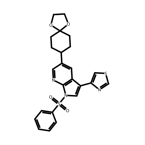 O=S(=O)(c1ccccc1)n1cc(-c2cs[c]n2)c2cc(C3CCC4(CC3)OCCO4)cnc21